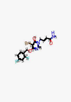 CNC(=O)C=CCn1c(C)nc(OCc2ccc(F)cc2F)c(Br)c1=O